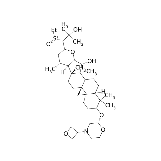 CC[S+]([O-])[C@@H](C1C[C@@H](C)[C@H]2C(O1)[C@H](O)[C@@]1(C)C3CC[C@H]4C(C)(C)C(O[C@H]5CN(C6COC6)CCO5)CC[C@@]45C[C@@]35CC[C@]21C)C(C)(C)O